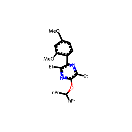 CCCC(CCC)Oc1nc(CC)c(-c2ccc(OC)cc2OC)nc1CC